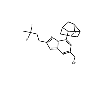 CC(F)(F)CCc1cc2nc(CO)nc(N3C4CC5CC3C(C4)O5)n2n1